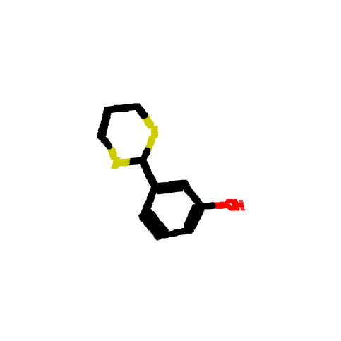 Oc1cc#cc(C2SCCCS2)c1